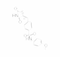 COc1ccc(NS(=O)(=O)c2ccc(/C=C3/SC(=O)NC3=O)cc2)cc1